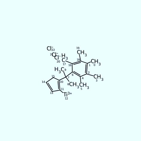 Cc1c(C)c(C)c(C(C)(C)C2=[C]([Ti+3])C=CC2)c(C)c1C.[Cl-].[Cl-].[Cl-]